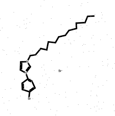 CCCCCCCCCCCCCCn1cc[n+](-c2ccc(Br)cc2)c1.[Br-]